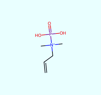 C=CC[N+](C)(C)P(=O)(O)O